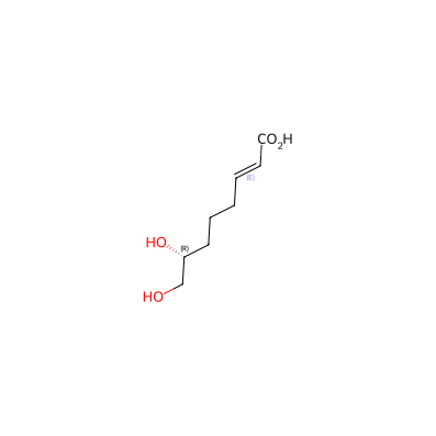 O=C(O)/C=C/CCC[C@@H](O)CO